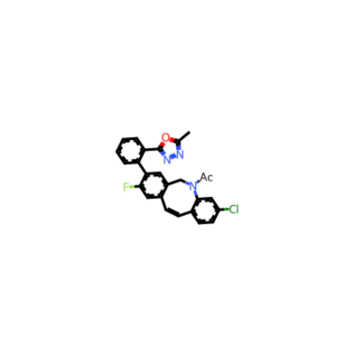 CC(=O)N1Cc2cc(-c3ccccc3-c3nnc(C)o3)c(F)cc2C=Cc2ccc(Cl)cc21